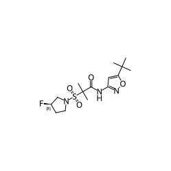 CC(C)(C)c1cc(NC(=O)C(C)(C)S(=O)(=O)N2CC[C@@H](F)C2)no1